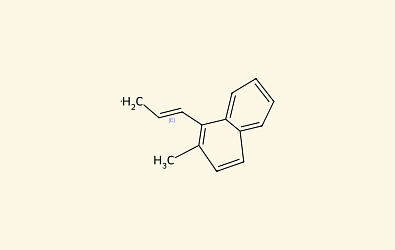 [CH2]/C=C/c1c(C)ccc2ccccc12